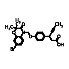 CC#CC(CC(=O)O)c1ccc(OCN2C(=O)C(C)(C)Oc3cc(Br)ccc32)cc1